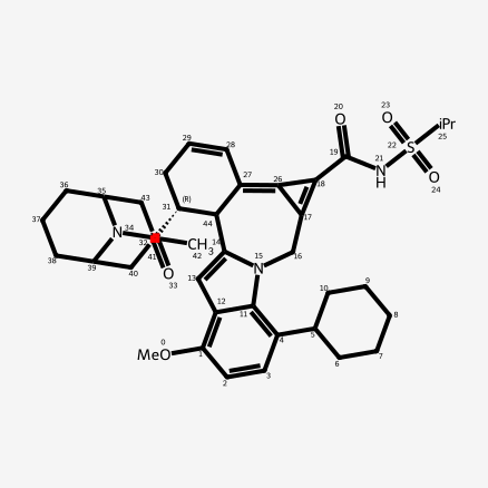 COc1ccc(C2CCCCC2)c2c1cc1n2CC2=C(C(=O)NS(=O)(=O)C(C)C)C2=C2C=CC[C@@H](C(=O)N3C4CCCC3CN(C)C4)C21